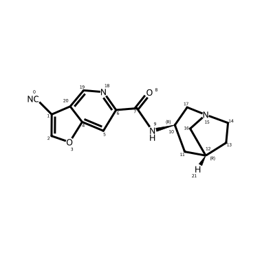 N#Cc1coc2cc(C(=O)N[C@@H]3C[C@H]4CCN(C4)C3)ncc12